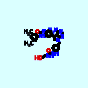 Cc1cc(C)c2oc(Nc3ccc(-c4cn(Cc5ccc(NC(=O)NCCO)cc5)c5ncnc(N)c45)cc3)nc2c1